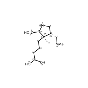 CNC[C@H]1CN[C@H](C(=O)O)[C@]1(C)CCCB(O)O